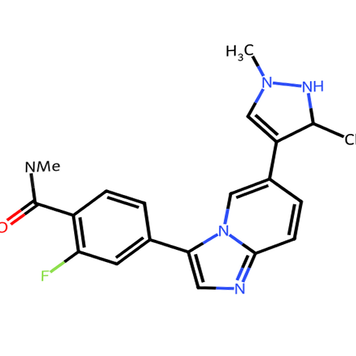 CNC(=O)c1ccc(-c2cnc3ccc(C4=CN(C)NC4C)cn23)cc1F